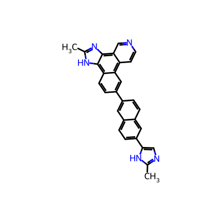 Cc1ncc(-c2ccc3cc(-c4ccc5c(c4)c4ccncc4c4nc(C)[nH]c54)ccc3c2)[nH]1